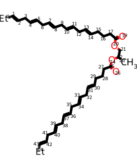 CCC=CCC=CCC=CCC=CCC=CCCCC(=O)OCC(C)OC(=O)CCCC=CCC=CCC=CCC=CCC=CCC